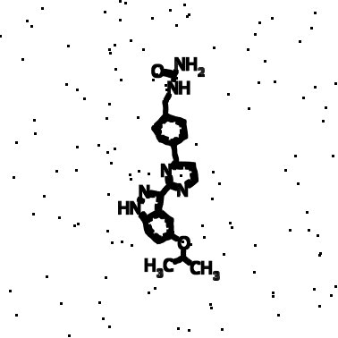 CC(C)Oc1ccc2[nH]nc(-c3nccc(-c4ccc(CNC(N)=O)cc4)n3)c2c1